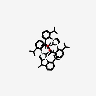 CC(C)c1cccc(C(C)C)c1N1C=CN(c2c(C(C)C)cccc2C(C)C)C1PPC1N(c2c(C(C)C)cccc2C(C)C)C=C2C(C)c3cccc(C(C)C)c3N21